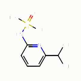 CC(C)c1cccc(N[SH](C)(C)=O)n1